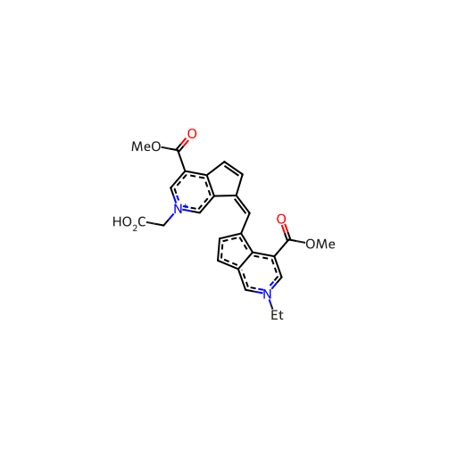 CCn1cc2ccc(/C=C3/C=Cc4c(C(=O)OC)c[n+](CC(=O)O)cc43)c-2c(C(=O)OC)c1